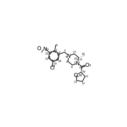 Cc1c(CN2CCN(C(=O)[C@H]3CCCO3)[C@@H](C)C2)cc(Cl)cc1[N+](=O)[O-]